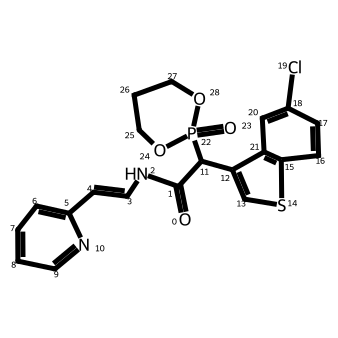 O=C(NC=Cc1ccccn1)C(c1csc2ccc(Cl)cc12)P1(=O)OCCCO1